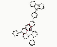 c1ccc(-c2ccc(N(c3ccc(-c4ccc(-n5c6ccccc6c6ccccc65)cc4)cc3)c3cccc(-c4ccccc4)c3-c3ccccc3-c3ccccc3)cc2)cc1